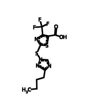 CCCCc1ncn(Sc2nc(C(F)(F)F)c(C(=O)O)s2)n1